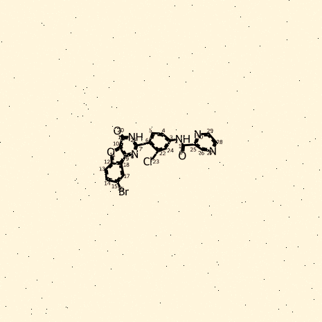 O=C(Nc1ccc(-c2nc3c(oc4ccc(Br)cc43)c(=O)[nH]2)c(Cl)c1)c1cnccn1